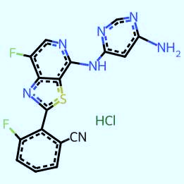 Cl.N#Cc1cccc(F)c1-c1nc2c(F)cnc(Nc3cc(N)ncn3)c2s1